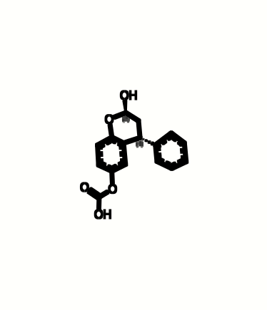 O=C(O)Oc1ccc2c(c1)[C@@H](c1ccccc1)C[C@H](O)O2